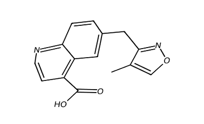 Cc1conc1Cc1ccc2nccc(C(=O)O)c2c1